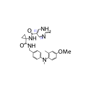 C=C/N=C\C(=C/N)C(=O)NC1(C(=O)NCc2ccc(N(C)c3ccc(OC)cc3C)cc2)CC1